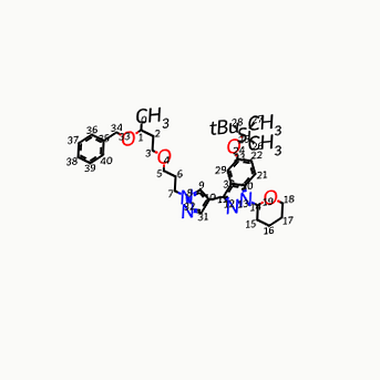 CC(CCOCCCn1cc(-c2nn(C3CCCCO3)c3ccc(O[Si](C)(C)C(C)(C)C)cc23)cn1)OCc1ccccc1